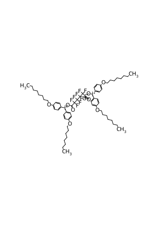 CCCCCCCCOc1ccc([I+](OC(=O)C(F)(F)C(F)(F)C(F)(F)C(F)(F)S(=O)(=O)O[I+](c2ccc(OCCCCCCCC)cc2)c2ccc(OCCCCCCCC)cc2)c2ccc(OCCCCCCCC)cc2)cc1